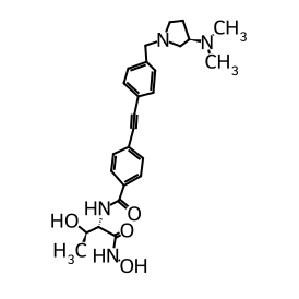 C[C@@H](O)[C@H](NC(=O)c1ccc(C#Cc2ccc(CN3CC[C@@H](N(C)C)C3)cc2)cc1)C(=O)NO